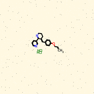 C=CCOc1ccc(C=C2CCCN=C2c2cccnc2)cc1.Cl.Cl